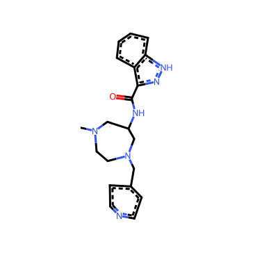 CN1CCN(Cc2ccncc2)CC(NC(=O)c2n[nH]c3ccccc23)C1